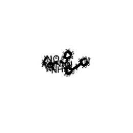 C[C@@H](NC(=O)c1c(N)nn2cccnc12)c1nc2cccc(C#Cc3ccncc3)c2nc1-c1ccccc1